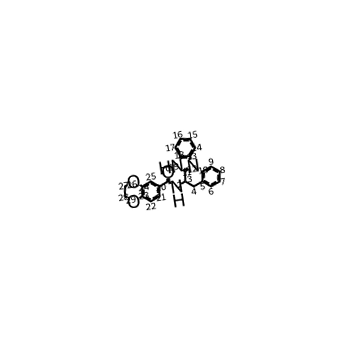 O=C(NC(Cc1ccccc1)c1nc2ccccc2[nH]1)c1ccc2c(c1)OCCO2